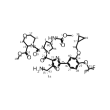 COC(=O)N[C@@H]1C[C@@H](C(=O)N2CCOCC2C(=O)OC)N(C(=O)c2nc(-c3ccc(OC(F)F)c(OCC4CC4)c3)oc2[C@H](C)N)C1